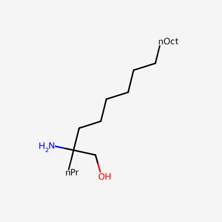 CCCCCCCCCCCCCCC(N)(CO)CCC